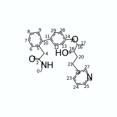 CNC(=O)Cc1ccccc1-c1ccc(OC(C)C(O)CCc2cccnc2)cc1